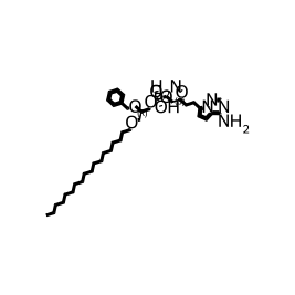 CCCCCCCCCCCCCCCCCCOC[C@H](COP(=O)(O)OC[C@H](CCc1ccc2c(N)ncnn12)ON)OCc1ccccc1